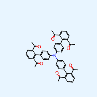 CC(=O)c1cccc(C(C)=O)c1-c1ccc(N(c2ccc(-c3c(C(C)=O)cccc3C(C)=O)cc2)c2ccc(-c3c(C(C)=O)cccc3C(C)=O)cc2)cc1